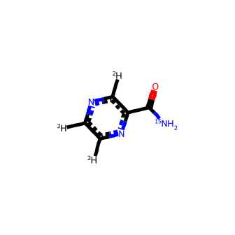 [2H]c1nc([2H])c(C([15NH2])=O)nc1[2H]